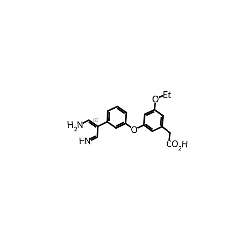 CCOc1cc(CC(=O)O)cc(Oc2cccc(/C(C=N)=C/N)c2)c1